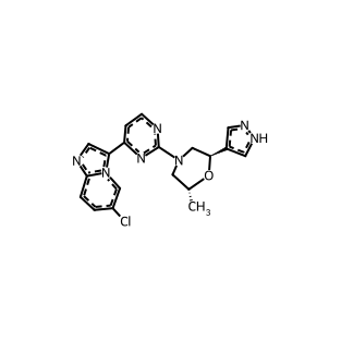 C[C@@H]1CN(c2nccc(-c3cnc4ccc(Cl)cn34)n2)C[C@@H](c2cn[nH]c2)O1